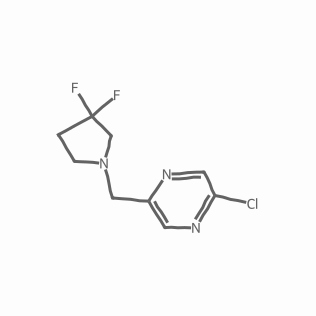 FC1(F)CCN(Cc2cnc(Cl)cn2)C1